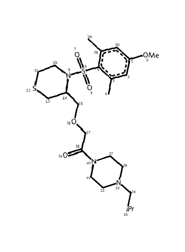 COc1cc(C)c(S(=O)(=O)N2CCSCC2COCC(=O)N2CCN(CC(C)C)CC2)c(C)c1